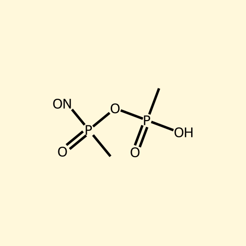 CP(=O)(O)OP(C)(=O)N=O